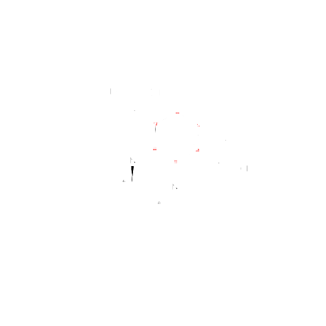 CC1(C)c2ccccc2N([C@@H]2CCCC[C@H]2N2c3ccccc3C(C)(C)c3ccccc32)c2ccccc21